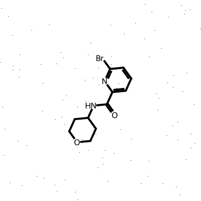 O=C(NC1CCOCC1)c1cccc(Br)n1